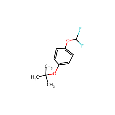 CC(C)(C)Oc1ccc(OC(F)F)cc1